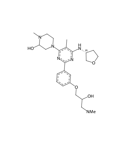 CNCC(O)COc1cccc(-c2nc(N[C@@H]3CCOC3)c(C)c(N3CCN(C)C(O)C3)n2)c1